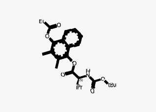 CCC(=O)Oc1c(C)c(C)c(OC(=O)[C@@H](NC(=O)OC(C)(C)C)C(C)C)c2ccccc12